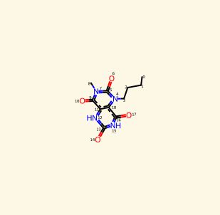 CCCCn1c(=O)n(C)c(=O)c2[nH]c(=O)[nH]c(=O)c21